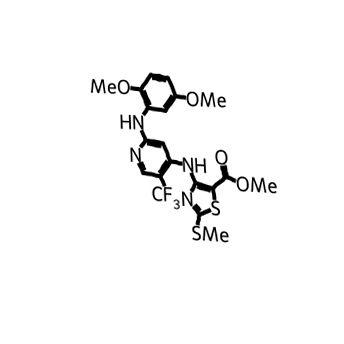 COC(=O)c1sc(SC)nc1Nc1cc(Nc2cc(OC)ccc2OC)ncc1C(F)(F)F